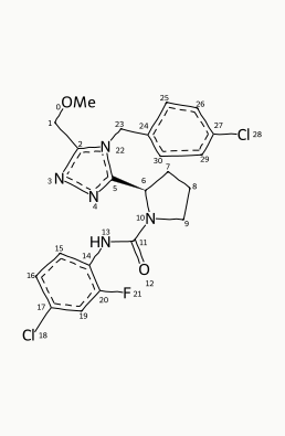 COCc1nnc([C@H]2CCCN2C(=O)Nc2ccc(Cl)cc2F)n1Cc1ccc(Cl)cc1